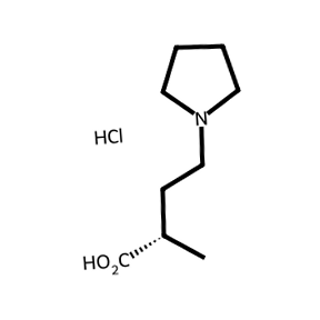 C[C@@H](CCN1CCCC1)C(=O)O.Cl